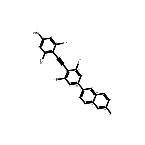 CCCCc1cc(F)c(C#Cc2c(F)cc(-c3ccc4cc(C)ccc4c3)cc2F)c(CC)c1